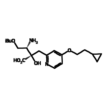 CC(C)COC[C@H](N)[C@](O)(Cc1cc(OCCC2CC2)ccn1)C(=O)O